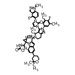 Cc1cc(-n2nc3c(c2-n2ccn(-c4ccc5c(cnn5C)c4F)c2=O)C(C)N(C(O)c2cc4cc(C5CCOC(C)(C)C5)ccc4n2C2(c4noc(=O)[nH]4)CC2C)CC3)cc(C)c1F